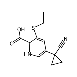 CCSC1=CC(C2(C#N)CC2)=CNC1C(=O)O